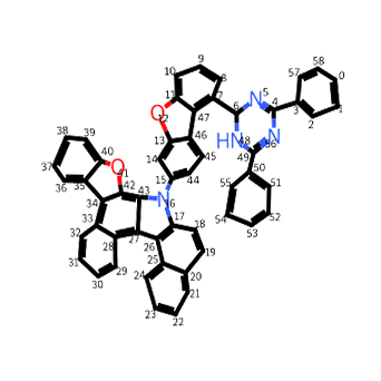 c1ccc(C2=NC(c3cccc4oc5cc(-n6c7ccc8ccccc8c7c7c8ccccc8c8c9ccccc9oc8c76)ccc5c34)NC(c3ccccc3)=N2)cc1